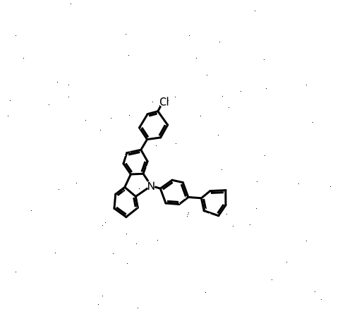 Clc1ccc(-c2ccc3c4ccccc4n(-c4ccc(-c5ccccc5)cc4)c3c2)cc1